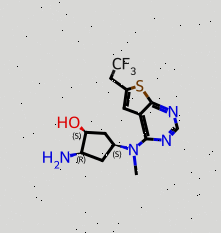 CN(c1ncnc2sc(CC(F)(F)F)cc12)[C@H]1C[C@@H](N)[C@@H](O)C1